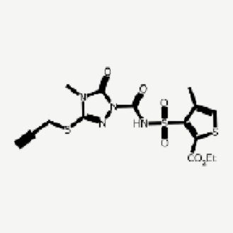 C#CCSc1nn(C(=O)NS(=O)(=O)c2c(C)csc2C(=O)OCC)c(=O)n1C